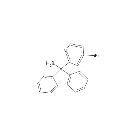 BC(c1ccccc1)(c1ccccc1)c1cc(C(C)C)ccn1